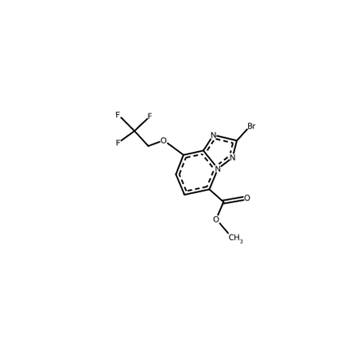 COC(=O)c1ccc(OCC(F)(F)F)c2nc(Br)nn12